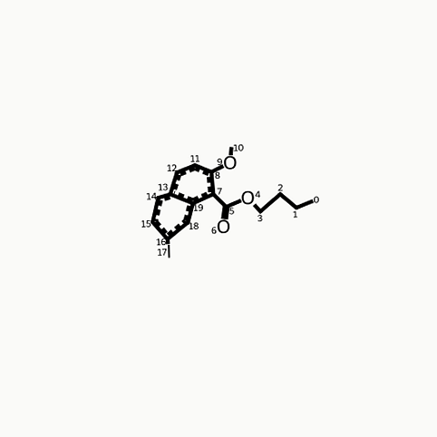 CCCCOC(=O)c1c(OC)ccc2ccc(I)cc12